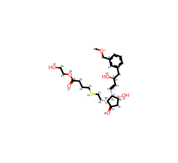 COCc1cccc(C[C@H](O)/C=C/[C@@H]2[C@H](O)CC(=O)[C@@H]2CCSCCCC(=O)OCCO)c1